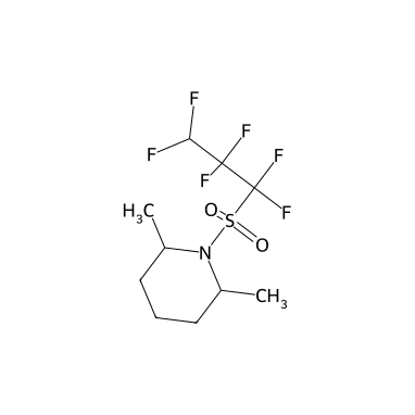 CC1CCCC(C)N1S(=O)(=O)C(F)(F)C(F)(F)C(F)F